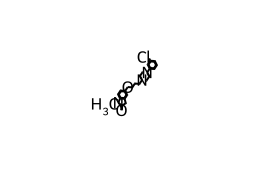 CN1C(=O)Cc2cc(OCCCN3CCN(c4cccc(Cl)c4)CC3)ccc21